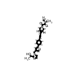 C[C@H](O)c1nccn1Cc1cc(-c2ccc(C#CC3[C@H]4CN(C(=O)C(=O)N(C)C)C[C@@H]34)cc2)on1